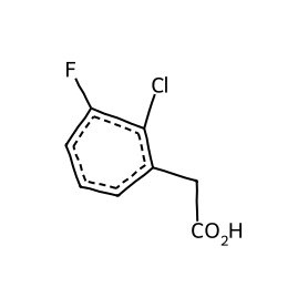 O=C(O)Cc1cccc(F)c1Cl